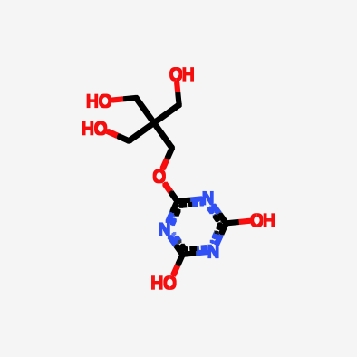 OCC(CO)(CO)COc1nc(O)nc(O)n1